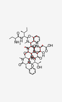 CC[C@H](N)C(=O)N[C@H](C(=O)N(C)[C@@H](CC(C)C)C(=O)N(C)[C@@H](C)C(=O)N(C)[C@@H](CC(C)C)C(=O)N[C@H](C(=O)N(C)[C@@H](Cc1ccccc1)C(=O)N(C)[C@@H](C)C(=O)N(C)[C@@H](CC(C)C)C(=O)N(C)[C@@H](Cc1ccccc1)C(=O)N[C@@H](CC(=O)O)C(=O)O)[C@@H](C)O)[C@@H](C)CC